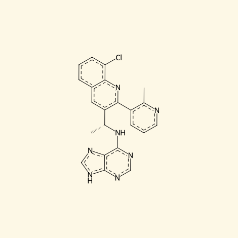 Cc1ncccc1-c1nc2c(Cl)cccc2cc1[C@@H](C)Nc1ncnc2[nH]cnc12